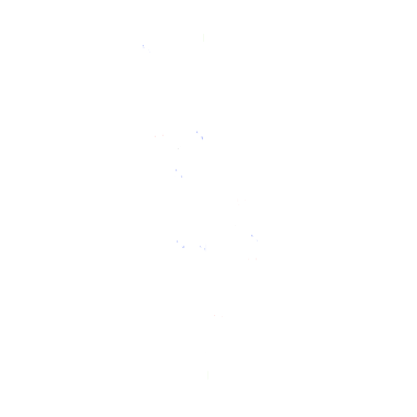 CN1OC(COCC(F)F)Cn2nc3c(c2C1=O)CN(C(=O)Nc1ccc(F)c(C#N)c1)CC3